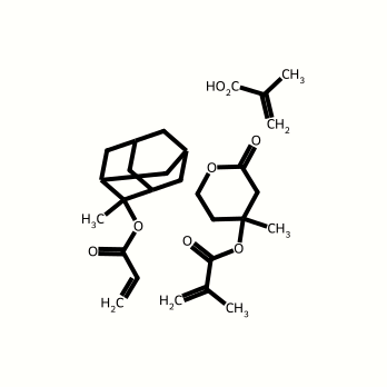 C=C(C)C(=O)O.C=C(C)C(=O)OC1(C)CCOC(=O)C1.C=CC(=O)OC1(C)C2CC3CC(C2)CC1C3